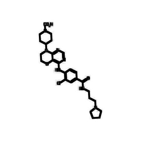 O=C(NCCCN1CCCC1)c1ccc(Nc2ncnc3c2OCCN3C2CCN(C(=O)O)CC2)c(Cl)c1